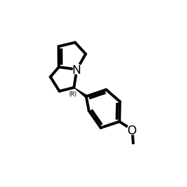 COc1ccc([C@H]2CCC3=CCCN32)cc1